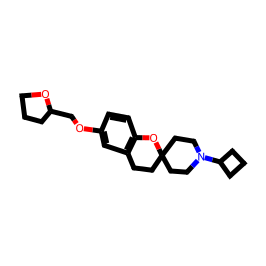 c1cc2c(cc1OCC1CCCO1)CCC1(CCN(C3CCC3)CC1)O2